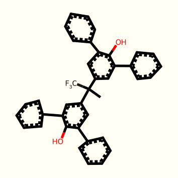 CC(c1cc(-c2ccccc2)c(O)c(-c2ccccc2)c1)(c1cc(-c2ccccc2)c(O)c(-c2ccccc2)c1)C(F)(F)F